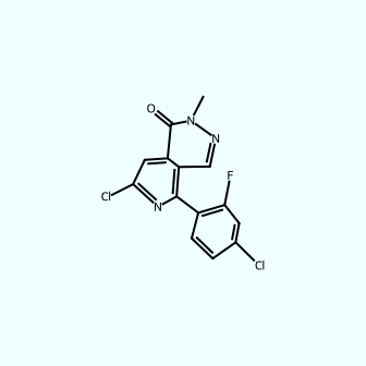 Cn1ncc2c(-c3ccc(Cl)cc3F)nc(Cl)cc2c1=O